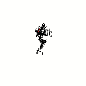 CCCCCCOc1ccc(-n2c3ccccc3c3cc(-c4ccc(C5=C6C(=O)N(CC(CC)CCCC)C(c7ccc(-c8ccc(C(=O)O)cc8)s7)=C6C(=O)N5CC(CC)CCCC)s4)ccc32)cc1